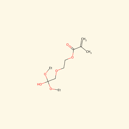 C=C(C)C(=O)OCCOCC(O)(OCC)OCC